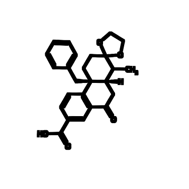 CC1[C@@H]2CC(=O)c3cc(C(=O)O)ccc3[C@]2(Cc2ccccc2)CCC12OCCO2